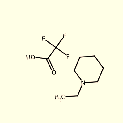 CCN1CCCCC1.O=C(O)C(F)(F)F